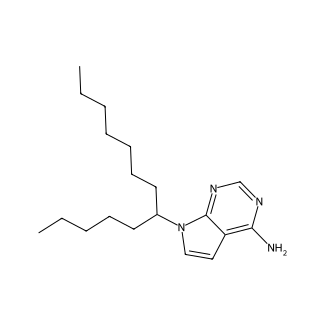 CCCCCCCC(CCCCC)n1ccc2c(N)ncnc21